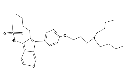 CCCCc1c(NS(C)(=O)=O)c2ccocc-2c1-c1ccc(OCCCN(CCCC)CCCC)cc1